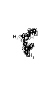 Cc1cnc2c(c1)N(C(=O)c1ccc(NC(=O)c3ccc(C)nc3N3CC4(CCOCC4)C3)cc1)CCc1cc(C(=O)Nc3c(Cl)cccc3Cl)sc1-2